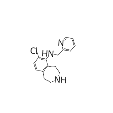 Clc1ccc2c(c1NCc1ccccn1)CCNCC2